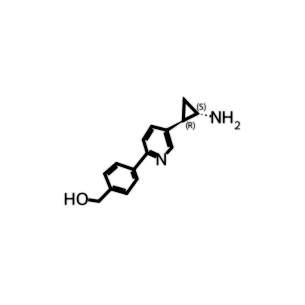 N[C@H]1C[C@@H]1c1ccc(-c2ccc(CO)cc2)nc1